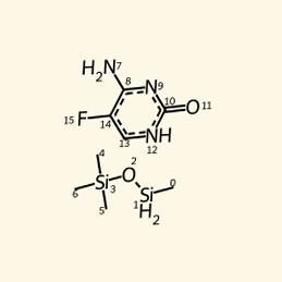 C[SiH2]O[Si](C)(C)C.Nc1nc(=O)[nH]cc1F